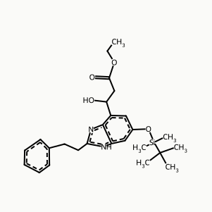 CCOC(=O)CC(O)c1cc(O[Si](C)(C)C(C)(C)C)cc2[nH]c(CCc3ccccc3)nc12